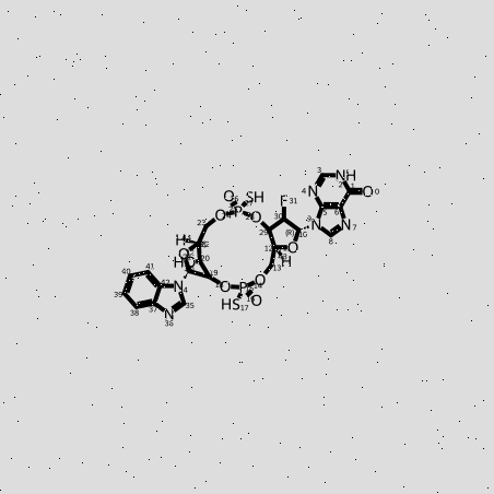 O=c1[nH]cnc2c1ncn2[C@@H]1O[C@@H]2COP(=O)(S)OC3C(O)[C@@H](COP(=O)(S)OC2C1F)O[C@H]3n1cnc2ccccc21